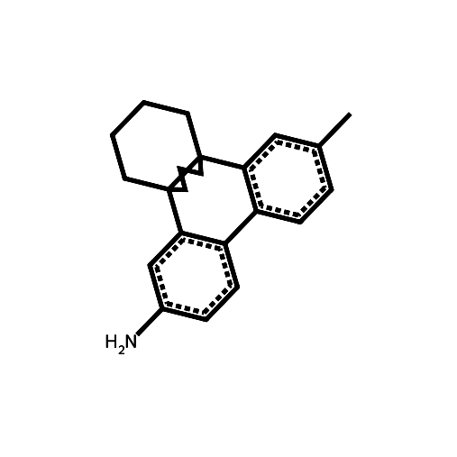 Cc1ccc2c(c1)C13CCCCC1(CCC3)c1cc(N)ccc1-2